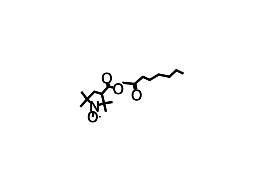 CCCCCCC(=O)COC(=O)C1CC(C)(C)N([O])C1(C)C